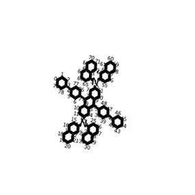 c1ccc(-c2ccc(-c3c4ccc(N(c5ccc6ccccc6c5)c5cccc6ccccc56)cc4c(-c4ccc(-c5ccccc5)cc4)c4ccc(N(c5ccc6ccccc6c5)c5cccc6ccccc56)cc34)cc2)cc1